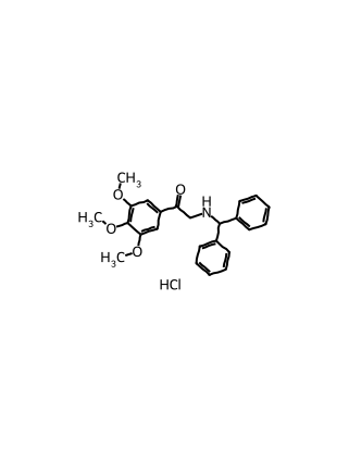 COc1cc(C(=O)CNC(c2ccccc2)c2ccccc2)cc(OC)c1OC.Cl